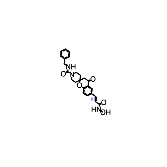 O=C(/C=C/c1ccc2c(c1)C(=O)CC1(CCN(C(=O)NCc3ccccc3)CC1)O2)NO